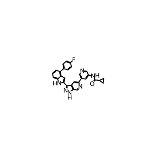 O=C(Nc1cncc(-c2cc3c(-c4cc5c(-c6ccc(F)cc6)cccc5[nH]4)n[nH]c3cn2)c1)C1CC1